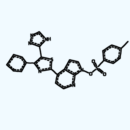 Cc1ccc(S(=O)(=O)On2ccc3c(-c4nc(-c5ccccc5)c(-c5nnc[nH]5)s4)ccnc32)cc1